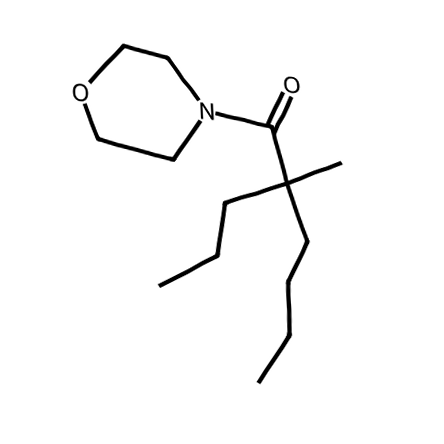 CCCCC(C)(CCC)C(=O)N1CCOCC1